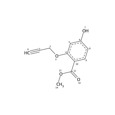 C#CCOc1cc(O)ccc1C(=O)OC